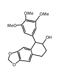 COc1cc(C2c3cc4c(cc3CCC2O)OCO4)cc(OC)c1OC